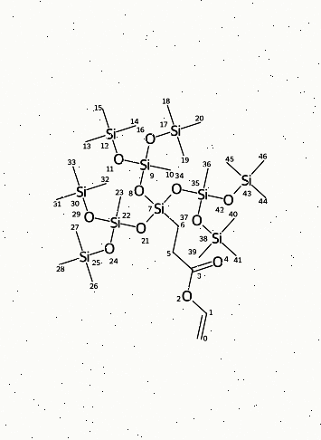 C=COC(=O)CC[Si](O[Si](C)(O[Si](C)(C)C)O[Si](C)(C)C)(O[Si](C)(O[Si](C)(C)C)O[Si](C)(C)C)O[Si](C)(O[Si](C)(C)C)O[Si](C)(C)C